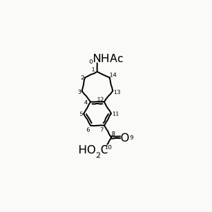 CC(=O)NC1CCc2ccc(C(=O)C(=O)O)cc2CC1